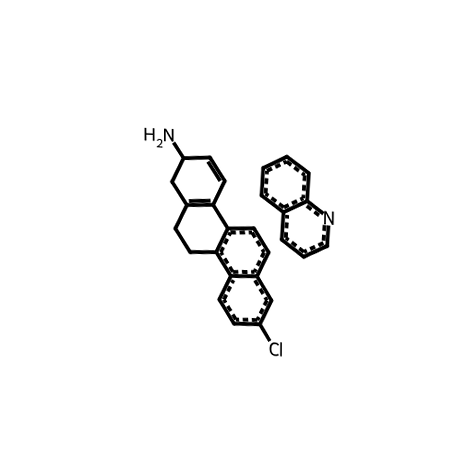 NC1C=CC2=C(CCc3c2ccc2cc(Cl)ccc32)C1.c1ccc2ncccc2c1